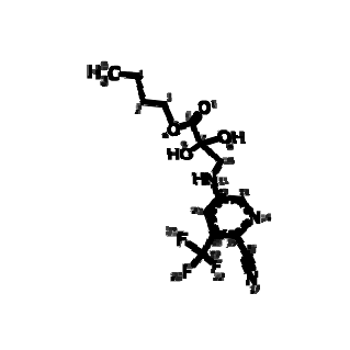 CCCCOC(=O)C(O)(O)CNc1cnc(C#N)c(C(F)(F)F)c1